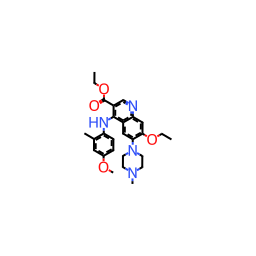 CCOC(=O)c1cnc2cc(OCC)c(N3CCN(C)CC3)cc2c1Nc1ccc(OC)cc1C